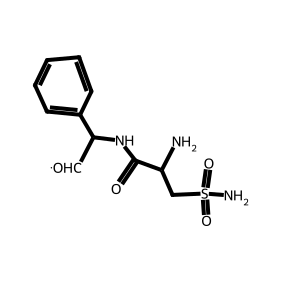 NC(CS(N)(=O)=O)C(=O)NC([C]=O)c1ccccc1